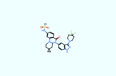 CCS(=O)(=O)Nc1ccc(C(=O)Nc2ccc3[nH]nc(N4CCC(F)(F)CC4)c3c2)c(N2CCC3(CC2)CC3)c1